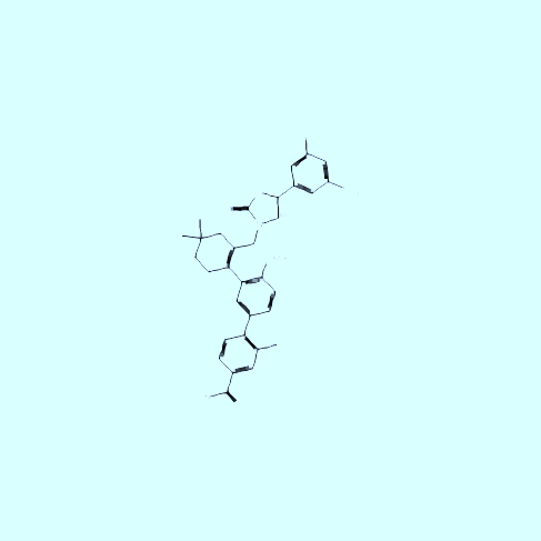 COc1ccc(-c2ccc(C(N)=O)cc2C)cc1C1=C(CN2C(=O)OC(c3cc(C(F)(F)F)cc(C(F)(F)F)c3)[C@@H]2C)CC(C)(C)CC1